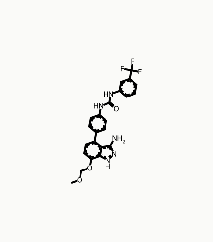 COCOc1ccc(-c2ccc(NC(=O)Nc3cccc(C(F)(F)F)c3)cc2)c2c(N)n[nH]c12